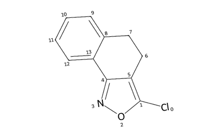 Clc1onc2c1CCc1ccccc1-2